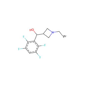 C[C](C)CN1CC(C(O)c2c(F)c(F)cc(F)c2F)C1